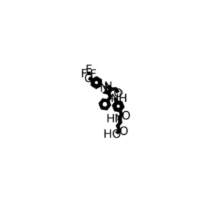 COCc1nn(-c2ccc(OC(F)(F)F)cc2)cc1C(Nc1ccc(C(=O)NCCC(=O)O)cc1)C1CCCCC1